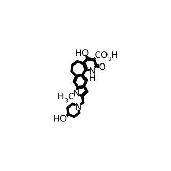 Cn1c(CN2CCC(O)CC2)cc2cc3c(cc21)CCCc1c-3[nH]c(=O)c(C(=O)O)c1O